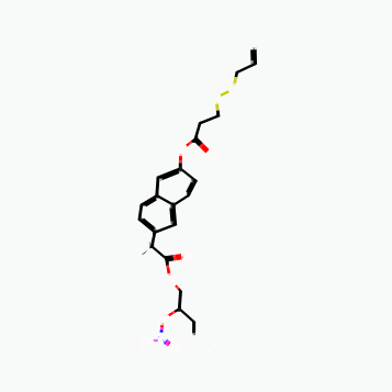 C=CCSSCCC(=O)Oc1ccc2cc([C@H](C)C(=O)OCC(CC)O[N+](=O)[O-])ccc2c1